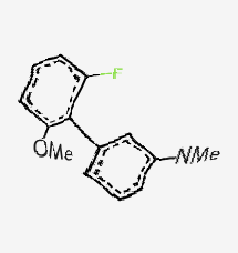 CNc1cccc(-c2c(F)cccc2OC)c1